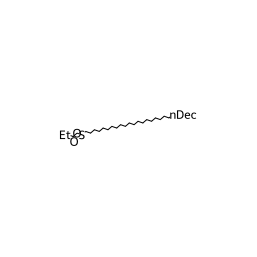 CCCCCCCCCCCCCCCCCCCCCCCCCCCCCCSOC(=O)CC